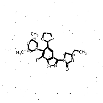 CC[C@@H]1CN(c2noc3c(F)c(N4C[C@@H](C)O[C@@H](C)C4)c(C4OCCO4)cc23)C(=O)O1